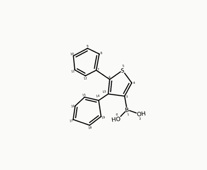 OB(O)c1csc(-c2ccccc2)c1-c1ccccc1